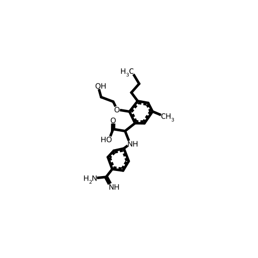 CCCc1cc(C)cc(C(Nc2ccc(C(=N)N)cc2)C(=O)O)c1OCCO